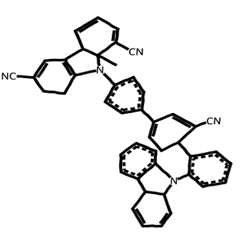 CC12C(C#N)=CC=CC1C1=C(CCC(C#N)=C1)N2c1ccc(C2=CCC(c3ccccc3N3c4ccccc4C4C=CC=CC43)C(C#N)=C2)cc1